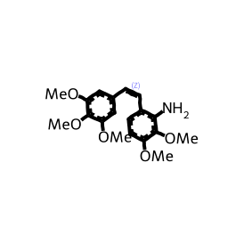 COc1cc(/C=C\c2ccc(OC)c(OC)c2N)cc(OC)c1OC